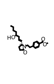 CCCCC(O)CC=C[C@H]1CCC(=O)N1CCc1ccc(C(=O)OC)cc1